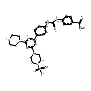 CCS(=O)(=O)N1CCN(c2nc(-c3ccc(NC(=O)Nc4ccc(C(=O)OC)cc4)cc3)nc(N3CCOCC3)n2)CC1